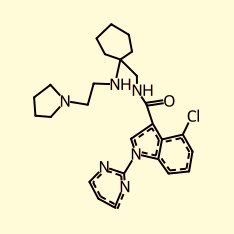 O=C(NCC1(NCCN2CCCC2)CCCCC1)c1cn(-c2ncccn2)c2cccc(Cl)c12